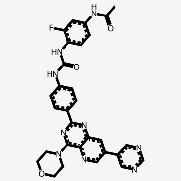 CC(=O)Nc1ccc(NC(=O)Nc2ccc(-c3nc(N4CCOCC4)c4ncc(-c5cncnc5)cc4n3)cc2)c(F)c1